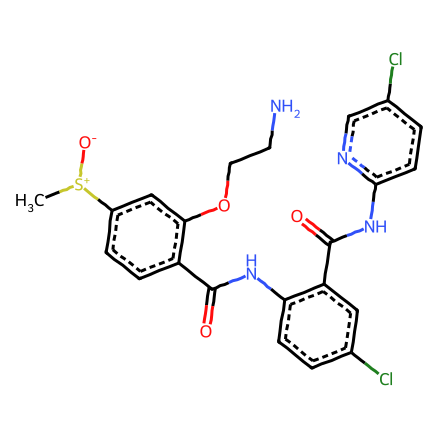 C[S+]([O-])c1ccc(C(=O)Nc2ccc(Cl)cc2C(=O)Nc2ccc(Cl)cn2)c(OCCN)c1